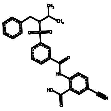 CC(C)N(Cc1ccccc1)S(=O)(=O)c1cccc(C(=O)Nc2ccc(C#N)cc2C(=O)O)c1